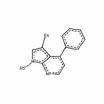 CCc1cn(S)c2nccc(-c3ccccc3)c12